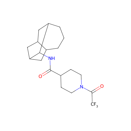 O=C(NC1C2CCCC3CC1CC3C2)C1CCN(C(=O)C(F)(F)F)CC1